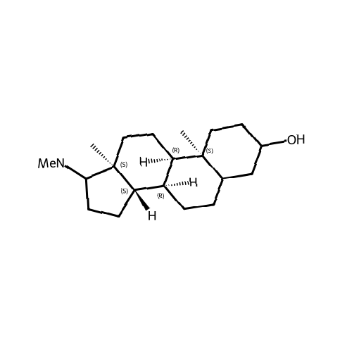 CNC1CC[C@H]2[C@@H]3CCC4CC(O)CC[C@]4(C)[C@@H]3CC[C@]12C